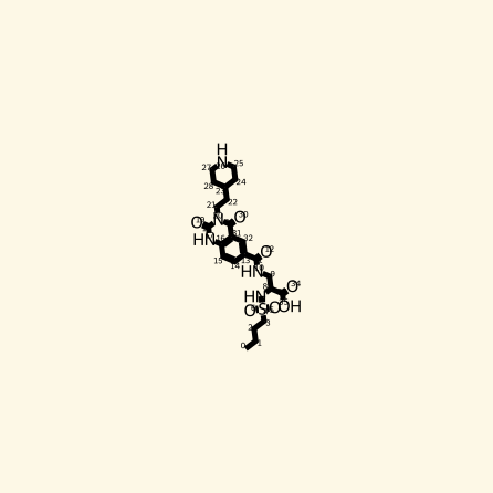 CCCCS(=O)(=O)NC(CNC(=O)c1ccc2[nH]c(=O)n(CCC3CCNCC3)c(=O)c2c1)C(=O)O